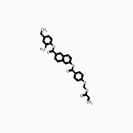 C=CC(=O)OCOc1ccc(C(=O)Oc2ccc3cc(C(=O)Oc4ccc(CC)cc4C)ccc3c2)cc1